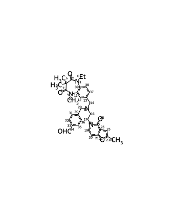 CCN1C(=O)C(C)(C)C(=O)N(C)c2cc(CN(CCn3ccc4oc(C)cc4c3=O)Cc3ccc(C=O)cc3)ccc21